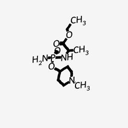 CCOC(=O)C(C)NP(N)(=O)OC1CCN(C)CC1